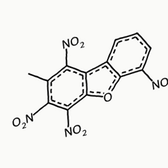 Cc1c([N+](=O)[O-])c([N+](=O)[O-])c2oc3c([N+](=O)[O-])cccc3c2c1[N+](=O)[O-]